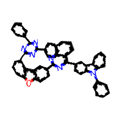 c1ccc(-c2nc(-c3ccccc3)nc(-c3cccc4oc5ccc(-c6nc(-c7ccc8c(c7)c7ccccc7n8-c7ccccc7)c7ccccc7n6)cc5c34)n2)cc1